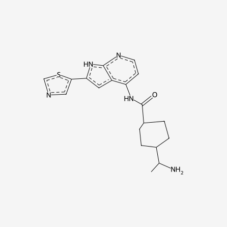 CC(N)C1CCC(C(=O)Nc2ccnc3[nH]c(-c4cncs4)cc23)CC1